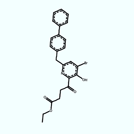 CCOC(=O)CCC(=O)c1nc(Cc2ccc(-c3ccccc3)cc2)cc(Br)c1O